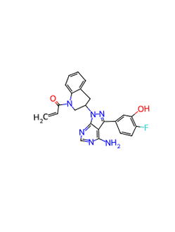 C=CC(=O)N1CC(n2nc(-c3ccc(F)c(O)c3)c3c(N)ncnc32)Cc2ccccc21